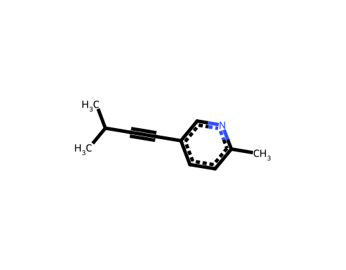 Cc1ccc(C#CC(C)C)cn1